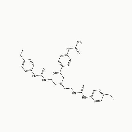 CCc1ccc(NC(=S)NCCN(CCNC(=S)Nc2ccc(CC)cc2)CC(=O)c2ccc(NC(N)=S)cc2)cc1